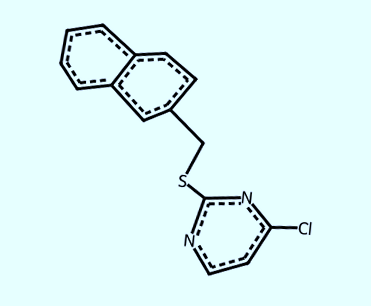 Clc1ccnc(SCc2ccc3ccccc3c2)n1